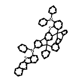 c1ccc(N(c2ccccc2)c2cccc3c2Sc2cc4c(cc2C32c3ccccc3-c3ccccc32)C(c2ccccc2)(c2ccccc2)c2cc(N(c3ccccc3)c3cccc5c3sc3cc6ccccc6cc35)ccc2-4)cc1